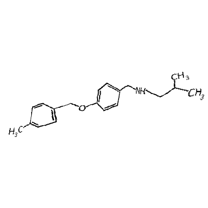 Cc1ccc(COc2ccc(CNCCC(C)C)cc2)cc1